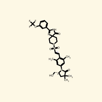 Cc1cc(N2C(=O)C(C)(C)C[C@@H]2CO)cc(C)c1/C=C/S(=O)(=O)N1CCC2(CC1)N=C(c1cccc(OC(F)(F)F)c1)NC2=O